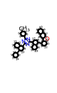 Cc1ccc(-c2nc(-c3ccc(-c4ccccc4)c4ccccc34)nc(-c3ccc(-c4cccc5oc6cc7ccccc7cc6c45)c4ccccc34)n2)cc1